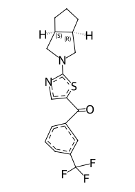 O=C(c1cccc(C(F)(F)F)c1)c1cnc(N2C[C@H]3CCC[C@H]3C2)s1